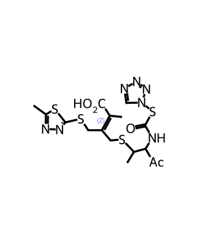 CC(=O)C(NC(=O)Sn1cnnn1)C(C)SC/C(CSc1nnc(C)s1)=C(\C)C(=O)O